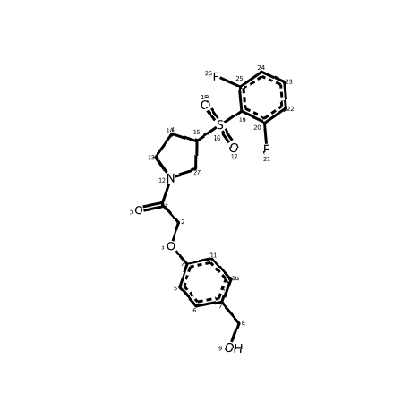 O=C(COc1ccc(CO)cc1)N1CCC(S(=O)(=O)c2c(F)cccc2F)C1